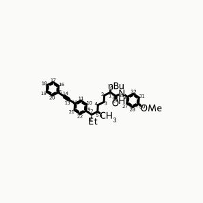 CCCCC(CCCC(C)[C@H](CC)c1ccc(C#Cc2ccccc2)cc1)C(=O)Nc1ccc(OC)cc1